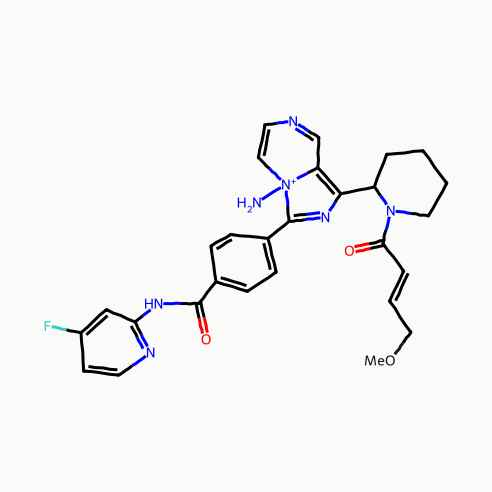 COC/C=C/C(=O)N1CCCCC1C1=C2C=NC=C[N+]2(N)C(c2ccc(C(=O)Nc3cc(F)ccn3)cc2)=N1